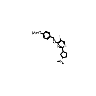 COc1ccc(COc2nc(C3CC[C@@H](N(C)C)C3)ncc2I)cc1